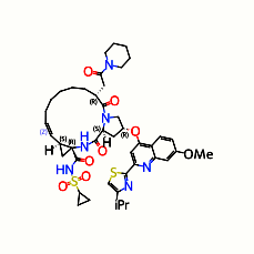 COc1ccc2c(O[C@@H]3C[C@H]4C(=O)N[C@]5(C(=O)NS(=O)(=O)C6CC6)C[C@H]5/C=C\CCCCC[C@H](CC(=O)N5CCCCC5)C(=O)N4C3)cc(-c3nc(C(C)C)cs3)nc2c1